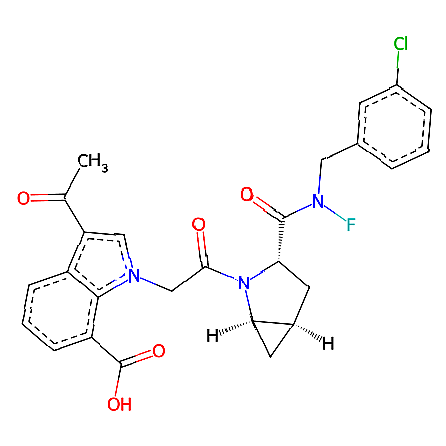 CC(=O)c1cn(CC(=O)N2[C@@H]3C[C@@H]3C[C@H]2C(=O)N(F)Cc2cccc(Cl)c2)c2c(C(=O)O)cccc12